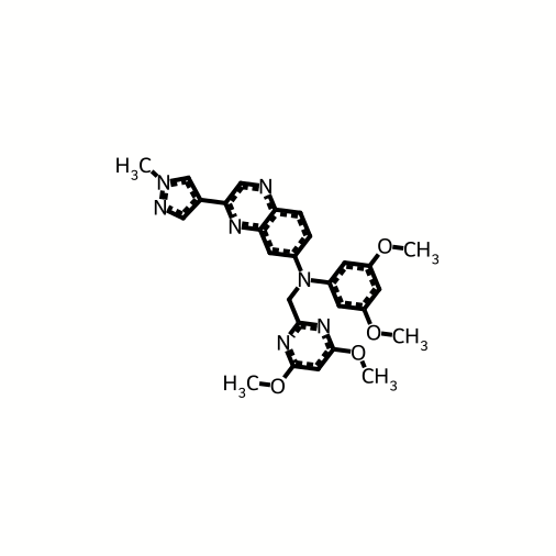 COc1cc(OC)cc(N(Cc2nc(OC)cc(OC)n2)c2ccc3ncc(-c4cnn(C)c4)nc3c2)c1